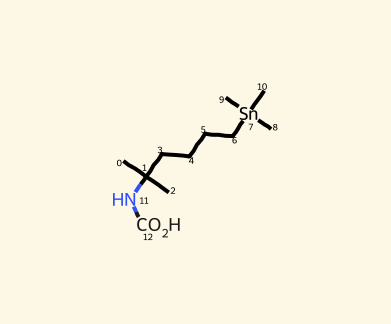 CC(C)(CCC[CH2][Sn]([CH3])([CH3])[CH3])NC(=O)O